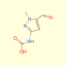 Cn1nc(NC(=O)O)cc1C=O